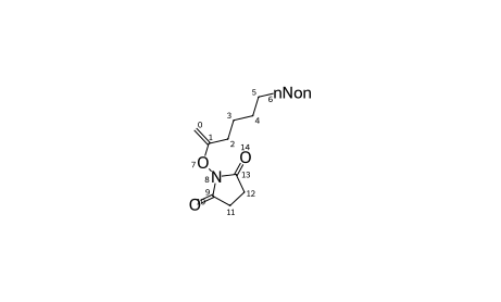 C=C(CCCCCCCCCCCCC)ON1C(=O)CCC1=O